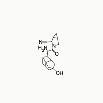 N#CC1C2CC2CN1C(=O)C(N)C1C2CC3CC1CC(O)(C3)C2